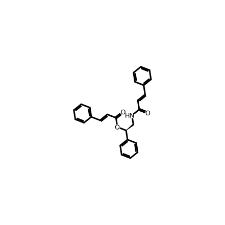 O=C(/C=C/c1ccccc1)NC[C@H](OC(=O)/C=C/c1ccccc1)c1ccccc1